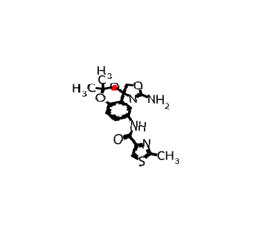 Cc1nc(C(=O)Nc2ccc3c(c2)C2(COC(N)=N2)C2(COC2)C(C)(C)O3)cs1